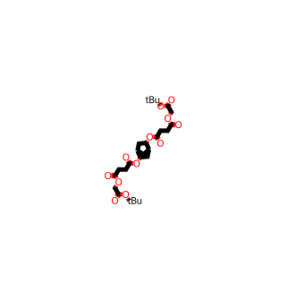 CC(C)(C)OC(=O)COC(=O)CCC(=O)OC1CC2CC1CC2OC(=O)CCC(=O)OCC(=O)OC(C)(C)C